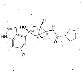 O=C(N[C@H]1[C@@H]2C[C@](O)(c3cc(Cl)cc4[nH]ncc34)C[C@@H]21)C1CCCC1